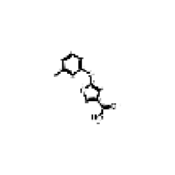 Cc1cccc(Sc2cc(C(=O)O)co2)c1